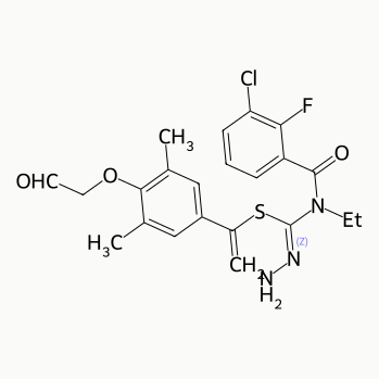 C=C(S/C(=N\N)N(CC)C(=O)c1cccc(Cl)c1F)c1cc(C)c(OCC=O)c(C)c1